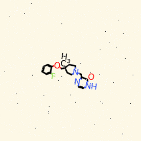 CC1(COc2ccccc2F)CCN(Cc2ncc[nH]c2=O)CC1